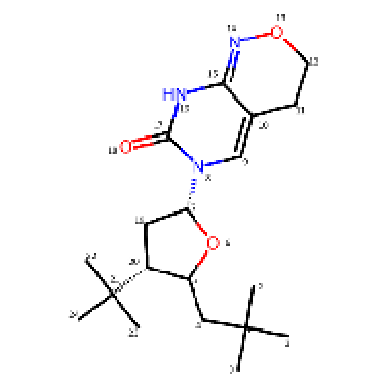 CC(C)(C)CC1O[C@@H](N2C=C3CCON=C3NC2=O)C[C@H]1C(C)(C)C